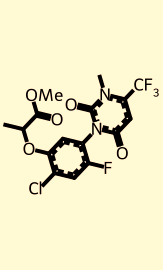 COC(=O)C(C)Oc1cc(-n2c(=O)cc(C(F)(F)F)n(C)c2=O)c(F)cc1Cl